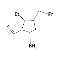 BC1CC(CC(C)C)C(CC)C1C=C